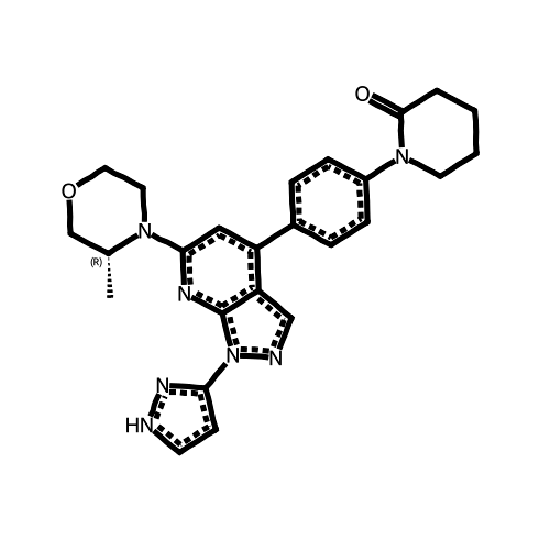 C[C@@H]1COCCN1c1cc(-c2ccc(N3CCCCC3=O)cc2)c2cnn(-c3cc[nH]n3)c2n1